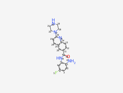 Nc1ccc(F)cc1NC(=O)c1ccc2nc(N3CCNCC3)ccc2c1